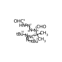 CC(C)(C#N)N(C=O)N=NNC=O.CC(C)(C)N=NC(C)(C)C